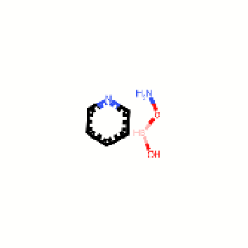 NOBO.c1ccncc1